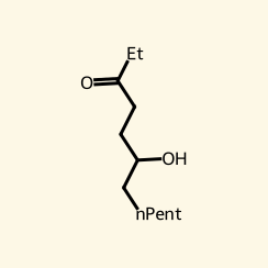 CCCCCCC(O)CCC(=O)CC